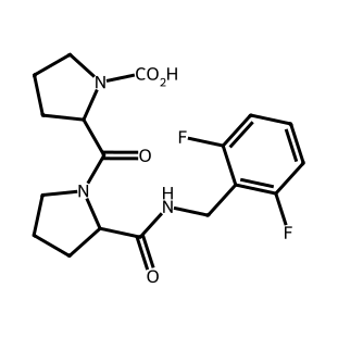 O=C(NCc1c(F)cccc1F)C1CCCN1C(=O)C1CCCN1C(=O)O